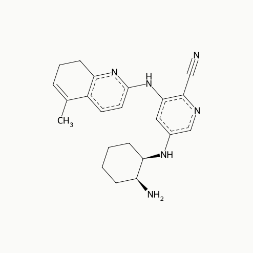 CC1=CCCc2nc(Nc3cc(N[C@@H]4CCCC[C@@H]4N)cnc3C#N)ccc21